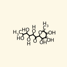 CC(O)C(O)C(O)C(O)C(=O)C1O[C@@H](C)[C@H](O)[C@@H](O)[C@H]1O